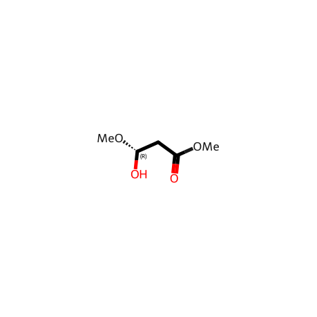 COC(=O)C[C@H](O)OC